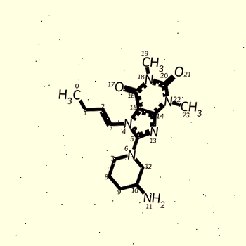 CCC=Cn1c(N2CCCC(N)C2)nc2c1c(=O)n(C)c(=O)n2C